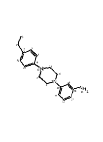 CCc1ccc(N2CCN(c3cccc(N)c3)CC2)cc1